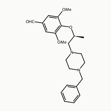 COc1cc(C=O)cc(OC)c1O[C@@H](C)CN1CCN(Cc2ccccc2)CC1